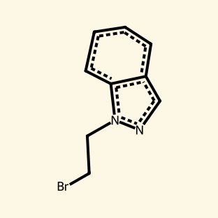 BrCCn1ncc2ccccc21